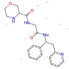 O=C(CNC(=O)C1COCCN1)NC(Cc1ccccn1)c1ccccc1